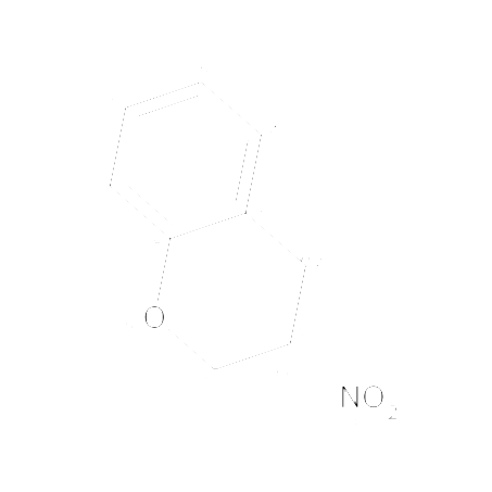 O=[N+]([O-])[C@H]1[C]c2ccccc2OC1